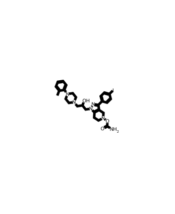 Cc1ccccc1N1CCN(CC(O)Cn2nc(-c3ccc(I)cc3)c3c2CCN(OC(N)=O)C3)CC1